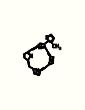 Cc1ccsc1C1=CC2=CC3=NC(=CC4=NC(=CC5=NC(=CC1=N2)C=C5)C=C4)C=C3